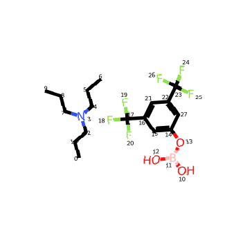 CCCN(CCC)CCC.OB(O)Oc1cc(C(F)(F)F)cc(C(F)(F)F)c1